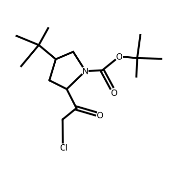 CC(C)(C)OC(=O)N1CC(C(C)(C)C)CC1C(=O)CCl